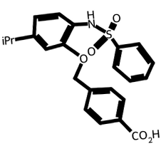 CC(C)c1ccc(NS(=O)(=O)c2ccccc2)c(OCc2ccc(C(=O)O)cc2)c1